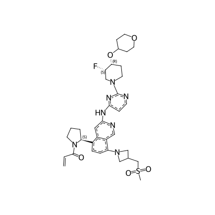 C=CC(=O)N1CCC[C@H]1c1ccc(N2CC(CS(C)(=O)=O)C2)c2cnc(Nc3ccnc(N4CC[C@@H](OC5CCOCC5)[C@@H](F)C4)n3)cc12